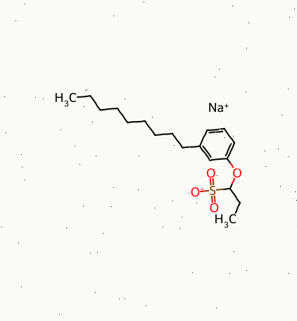 CCCCCCCCCc1cccc(OC(CC)S(=O)(=O)[O-])c1.[Na+]